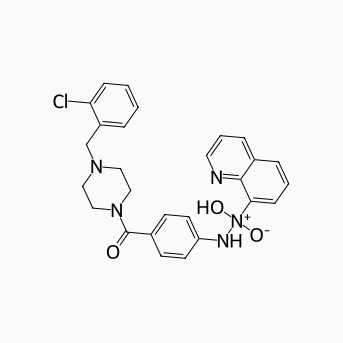 O=C(c1ccc(N[N+]([O-])(O)c2cccc3cccnc23)cc1)N1CCN(Cc2ccccc2Cl)CC1